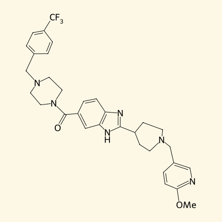 COc1ccc(CN2CCC(c3nc4ccc(C(=O)N5CCN(Cc6ccc(C(F)(F)F)cc6)CC5)cc4[nH]3)CC2)cn1